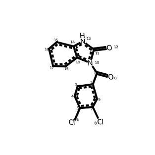 O=C(c1ccc(Cl)c(Cl)c1)n1c(=O)[nH]c2ccccc21